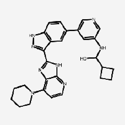 OC(Nc1cncc(-c2ccc3[nH]nc(-c4nc5c(N6CCCCC6)ccnc5[nH]4)c3c2)c1)C1CCC1